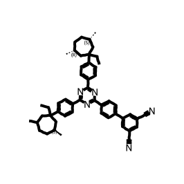 CCC1(c2ccc(-c3nc(-c4ccc(-c5cc(C#N)cc(C#N)c5)cc4)nc(-c4ccc(C5(CC)C[C@H](C)CC[C@H](C)C5)cc4)n3)cc2)CC(C)CC[C@H](C)C1